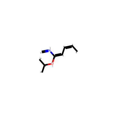 C=N/C(=C\C=C/C)OC(C)C